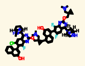 CC[C@H]1[C@@H]2CC[C@@H](CN2)N1c1nc(OCC2(CN(C)C)CC2)nc2c(F)c(-c3cc(O)cc4c(C5CC5(COc5nc(N6C(C)[C@@H]7CC[C@H]6CN7)c6cc(Cl)c(-c7cc(O)cc8ccccc78)c(F)c6n5)CN(C)C)cccc34)c(F)cc12